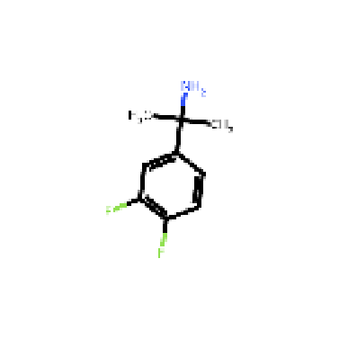 CC(C)(N)c1ccc(F)c(F)c1